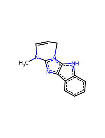 CN1C=CCn2c1nc1c3ccccc3[nH]c12